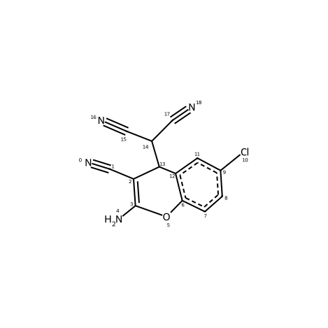 N#CC1=C(N)Oc2ccc(Cl)cc2C1C(C#N)C#N